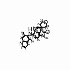 Cc1cc2ncccc2c(C)c1Nc1ncc2c(n1)n(C1(C#N)CCOCC1)c(=O)n2C